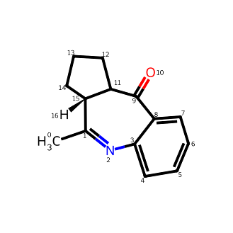 CC1=Nc2ccccc2C(=O)C2CCC[C@@H]12